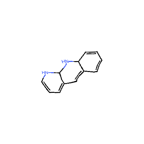 C1=CNC2NC3C=CC=CC3=CC2=C1